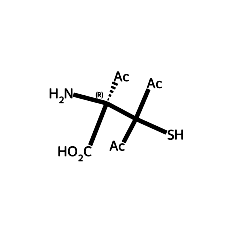 CC(=O)C(S)(C(C)=O)[C@@](N)(C(C)=O)C(=O)O